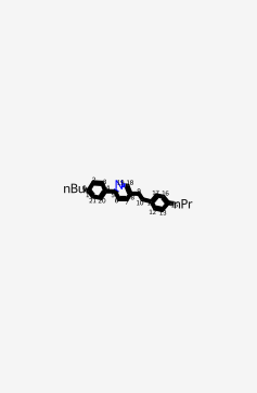 CCCCc1ccc(-c2ccc(CCc3ccc(CCC)cc3)cn2)cc1